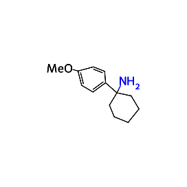 COc1ccc(C2(N)CCCCC2)cc1